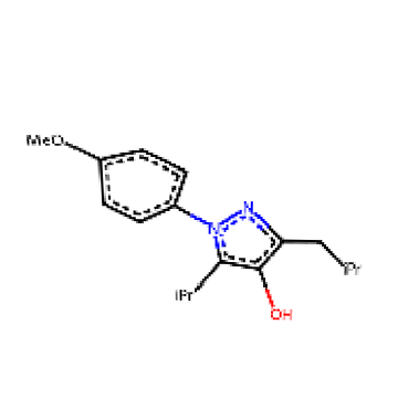 COc1ccc(-n2nc(CC(C)C)c(O)c2C(C)C)cc1